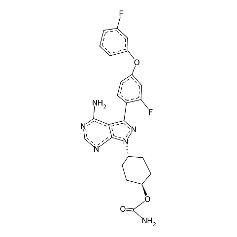 NC(=O)O[C@H]1CC[C@H](n2nc(-c3ccc(Oc4cccc(F)c4)cc3F)c3c(N)ncnc32)CC1